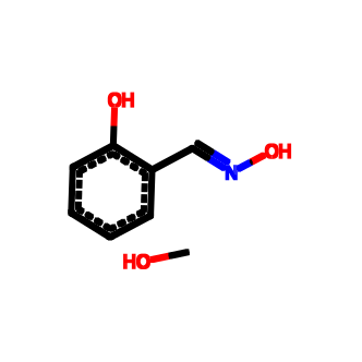 CO.ON=Cc1ccccc1O